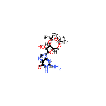 CC(C)[Si]1(C(C)C)OC[C@@H]2O[C@@H](n3cnc4c(=O)[nH]c(N)nc43)[C@H](O)[C@H]2O[Si](C(C)C)(C(C)C)O1